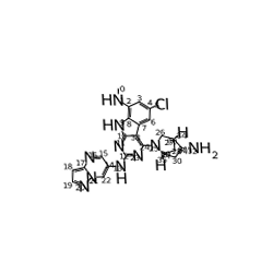 CNc1cc(Cl)cc2c1[nH]c1nc(Nc3cnc4ccnn4c3)nc(N3C[C@H]4C[C@@H]3C[C@H]4N)c12